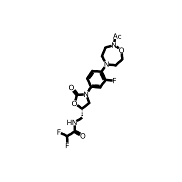 CC(=O)N1CCN(c2ccc(N3C[C@H](CNC(=O)C(F)F)OC3=O)cc2F)CCO1